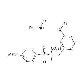 CCNCC.CCOC(=O)C(C)(Cc1cccc(OCC)c1)S(=O)(=O)c1ccc(OC)cc1